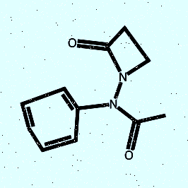 CC(=O)N(c1ccccc1)N1CCC1=O